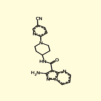 N#Cc1ccc(N2CCC(NC(=O)c3c(N)nn4cccnc34)CC2)nc1